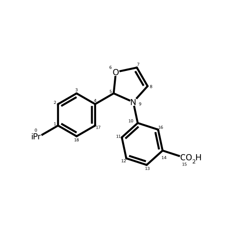 CC(C)c1ccc(C2OC=CN2c2cccc(C(=O)O)c2)cc1